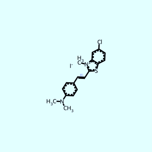 CN(C)c1ccc(/C=C/c2sc3ccc(Cl)cc3[n+]2C)cc1.[I-]